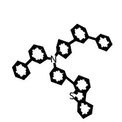 c1ccc(-c2cccc(-c3ccc(N(c4cccc(-c5ccccc5)c4)c4cccc(-c5cccc6c5sc5ccccc56)c4)cc3)c2)cc1